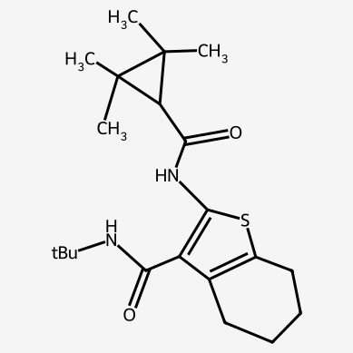 CC(C)(C)NC(=O)c1c(NC(=O)C2C(C)(C)C2(C)C)sc2c1CCCC2